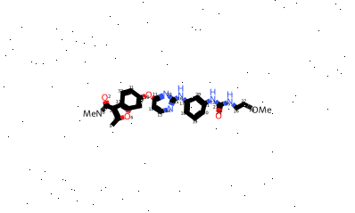 CNC(=O)c1c(C)oc2cc(Oc3ccnc(Nc4cccc(NC(=O)NCCOC)c4)n3)ccc12